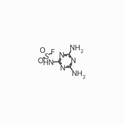 Nc1nc(N)nc(NS(=O)(=O)F)n1